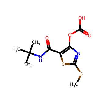 CSc1nc(OC(=O)O)c(C(=O)NC(C)(C)C)s1